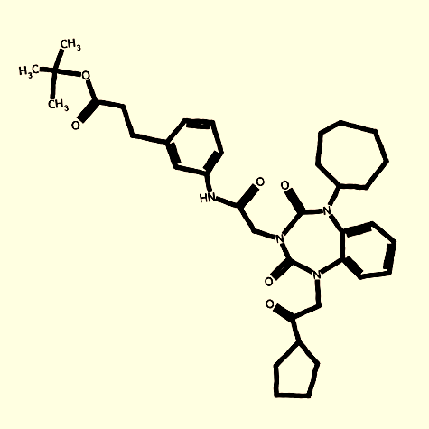 CC(C)(C)OC(=O)CCc1cccc(NC(=O)CN2C(=O)N(CC(=O)C3CCCC3)c3ccccc3N(C3CCCCCC3)C2=O)c1